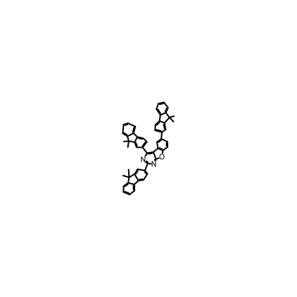 CC1(C)c2ccccc2-c2ccc(-c3ccc4oc5nc(-c6ccc7c(c6)C(C)(C)c6ccccc6-7)nc(-c6ccc7c(c6)C(C)(C)c6ccccc6-7)c5c4c3)cc21